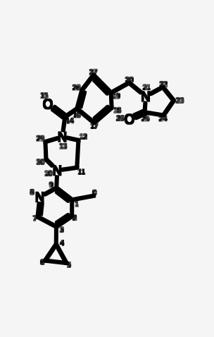 Cc1cc(C2CC2)cnc1N1CCN(C(=O)c2ccc(CN3CCCC3=O)cc2)CC1